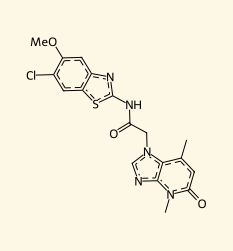 COc1cc2nc(NC(=O)Cn3cnc4c3c(C)cc(=O)n4C)sc2cc1Cl